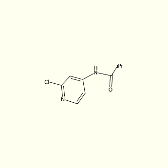 CC(C)C(=O)Nc1ccnc(Cl)c1